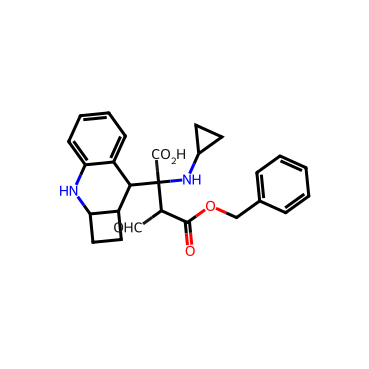 O=CC(C(=O)OCc1ccccc1)C(NC1CC1)(C(=O)O)C1c2ccccc2NC2CCC21